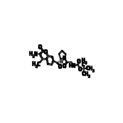 Cc1c(N)c(=O)oc2cc(C(=O)[C@@H]3CCCN3C(=O)CNC(=O)OC(C)(C)C)ccc12